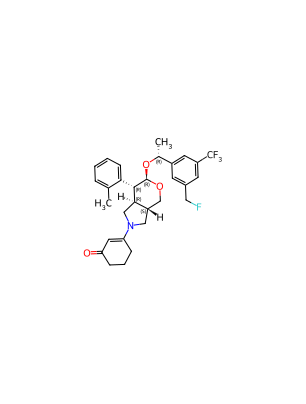 Cc1ccccc1[C@@H]1[C@@H](O[C@H](C)c2cc(CF)cc(C(F)(F)F)c2)OC[C@@H]2CN(C3=CC(=O)CCC3)C[C@H]21